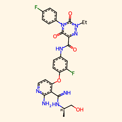 CCn1nc(C(=O)Nc2ccc(Oc3ccnc(N)c3C(=N)N[C@H](C)CO)c(F)c2)c(=O)n(-c2ccc(F)cc2)c1=O